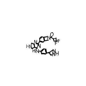 O=C(C1CC(F)(F)C1)N1Cc2ccc(-c3nc4c(c(Nc5ccc(C6C=NNC6)cc5)n3)CNC4)cc2C1